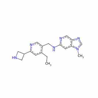 CCc1cc(C2CNC2)ncc1CNc1cc2c(cn1)ncn2C